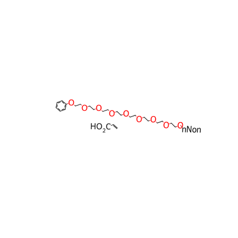 C=CC(=O)O.CCCCCCCCCOCCOCCOCCOCCOCCOCCOCCOCCOc1ccccc1